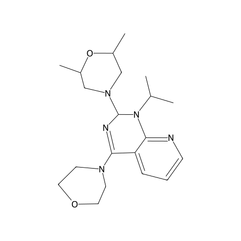 CC1CN(C2N=C(N3CCOCC3)c3cccnc3N2C(C)C)CC(C)O1